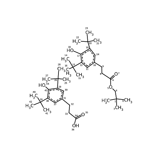 CC(C)(C)COC(=O)CCc1cc(C(C)(C)C)c(O)c(C(C)(C)C)c1.CC(C)(C)c1cc(CCC(=O)O)cc(C(C)(C)C)c1O